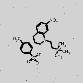 C[N+](C)(C)CCN1CCCc2ccc([N+](=O)[O-])cc21.Cc1ccc(S(=O)(=O)[O-])cc1